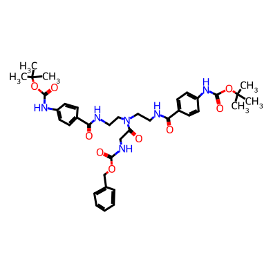 CC(C)(C)OC(=O)Nc1ccc(C(=O)NCCN(CCNC(=O)c2ccc(NC(=O)OC(C)(C)C)cc2)C(=O)CNC(=O)OCc2ccccc2)cc1